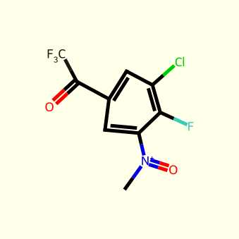 C[N+](=O)c1cc(C(=O)C(F)(F)F)cc(Cl)c1F